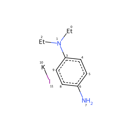 CCN(CC)c1ccc(N)cc1.[K][I]